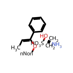 C=C.CC=C(OCCCCCCCCC)c1ccccc1.N.O=S(=O)(O)O